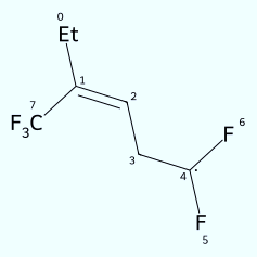 CC/C(=C/C[C](F)F)C(F)(F)F